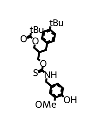 COc1cc(CNC(=S)OCC(COC(=O)C(C)(C)C)Cc2ccc(C(C)(C)C)cc2)ccc1O